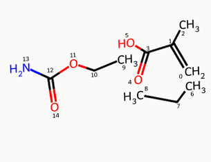 C=C(C)C(=O)O.CCC.CCOC(N)=O